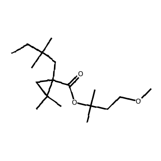 CCC(C)(C)CC1(C(=O)OC(C)(C)CCOC)CC1(C)C